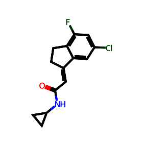 O=C(C=C1CCc2c(F)cc(Cl)cc21)NC1CC1